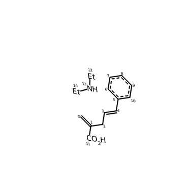 C=C(CC=Cc1ccccc1)C(=O)O.CCNCC